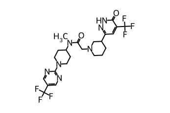 CN(C(=O)CN1CCCC(c2cc(C(F)(F)F)c(=O)[nH]n2)C1)C1CCN(c2ncc(C(F)(F)F)cn2)CC1